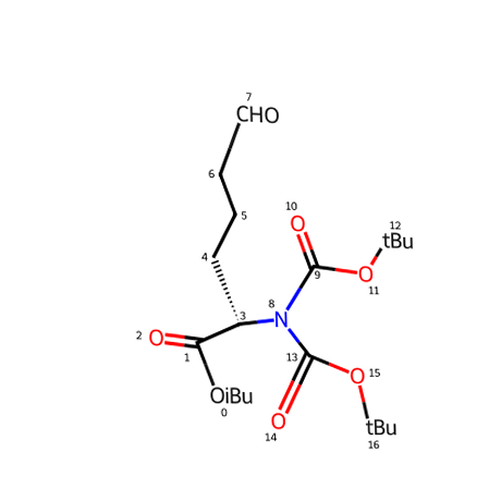 CC(C)COC(=O)[C@H](CCCC=O)N(C(=O)OC(C)(C)C)C(=O)OC(C)(C)C